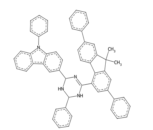 CC1(C)c2cc(-c3ccccc3)ccc2-c2c(C3=NC(c4ccc5c(c4)c4ccccc4n5-c4ccccc4)NC(c4ccccc4)N3)cc(-c3ccccc3)cc21